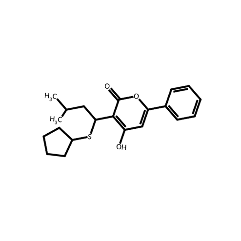 CC(C)CC(SC1CCCC1)c1c(O)cc(-c2ccccc2)oc1=O